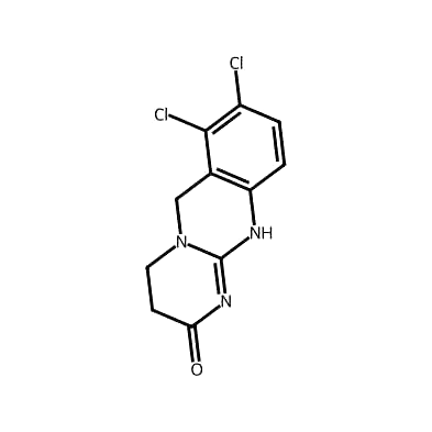 O=C1CCN2Cc3c(ccc(Cl)c3Cl)NC2=N1